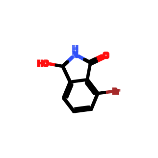 O=C1NC(O)c2cccc(Br)c21